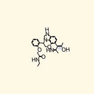 CCNC(=O)COc1ccccc1C1COc2c(/C(C(C)=N)=C(\C)O)ccc3c2N1CN3